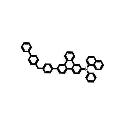 c1ccc(-c2ccc(Cc3ccc(-c4ccc5c6ccc(N(c7ccccc7)c7cccc8ccccc78)cc6c6ccccc6c5c4)cc3)cc2)cc1